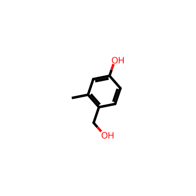 Cc1cc(O)ccc1CO